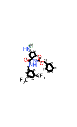 O=C(N[C@]1(C(=O)NCc2cc(C(F)(F)F)cc(C(F)(F)F)c2)CC[C@@H](NCl)C1)OCc1ccccc1